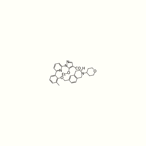 CCOc1c(C(=O)O)cnn1-c1cccc(-c2cccc(C)c2OCc2ccc3c(c2)CCN(C2CCOCC2)C3)n1